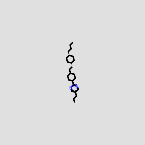 CCCC[C@H]1CC[C@H](CCC2CCC(c3ncc(CCC)cn3)CC2)CC1